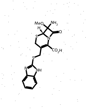 COC1(N)C(=O)N2C(C(=O)O)=C(CSc3nc4ccccc4[nH]3)CS[C@@H]21